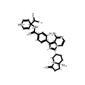 Nc1nccn2c([C@@H]3CC[C@H]4CCC(=O)N4C3)nc(-c3ccc(C(=O)NC4(C(F)F)C=CNC=C4)cc3)c12